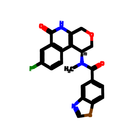 CN(C(=O)c1ccc2scnc2c1)[C@@H]1COCc2[nH]c(=O)c3cc(F)ccc3c21